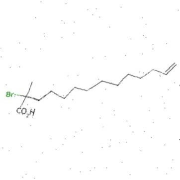 C=CCCCCCCCCCCC(C)(Br)C(=O)O